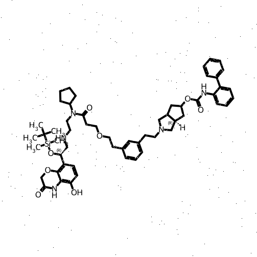 CC(C)(C)[Si](C)(C)O[C@@H](CNCCN(C(=O)CCOCCc1cccc(CCN2CC3CC(OC(=O)Nc4ccccc4-c4ccccc4)C[C@H]3C2)c1)C1CCCC1)c1ccc(O)c2c1OCC(=O)N2